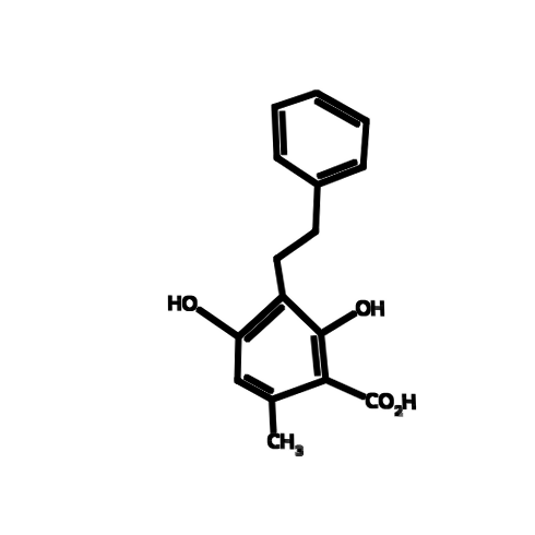 Cc1cc(O)c(CCc2ccccc2)c(O)c1C(=O)O